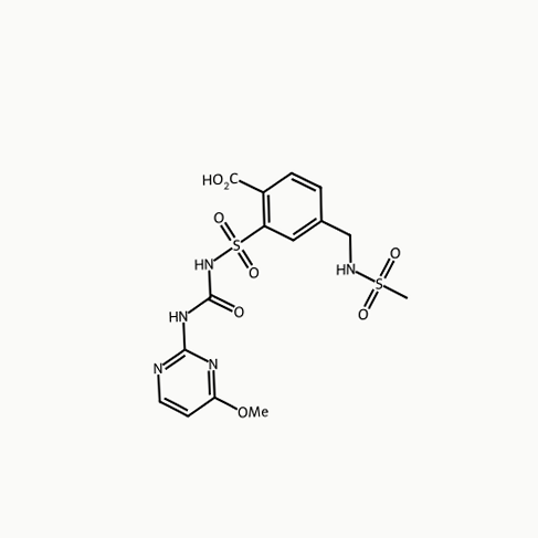 COc1ccnc(NC(=O)NS(=O)(=O)c2cc(CNS(C)(=O)=O)ccc2C(=O)O)n1